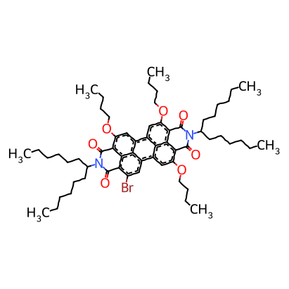 CCCCCCC(CCCCCC)N1C(=O)c2c(Br)cc3c4cc(OCCCC)c5c6c(c(OCCCC)cc(c7cc(OCCCC)c(c2c37)C1=O)c64)C(=O)N(C(CCCCCC)CCCCCC)C5=O